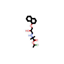 CC(Cl)OC(=O)C(C)(C)NCC(O)COc1cccc2ccccc12